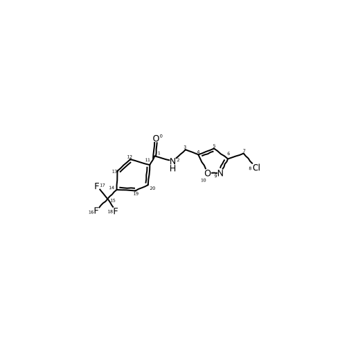 O=C(NCc1cc(CCl)no1)c1ccc(C(F)(F)F)cc1